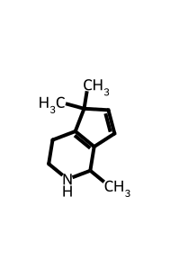 CC1NCCC2=C1C=CC2(C)C